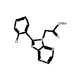 COC(=O)Cn1c(-c2ccccc2Cl)nc2cccnc21